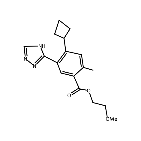 COCCOC(=O)c1cc(-c2nnc[nH]2)c(C2CCC2)cc1C